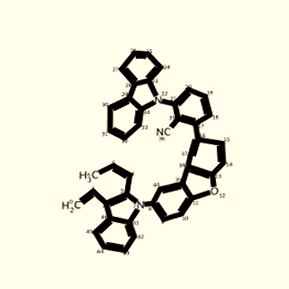 C=Cc1c(/C=C\C)n(-c2ccc3oc4ccc(-c5cccc(-n6c7ccccc7c7ccccc76)c5C#N)cc4c3c2)c2ccccc12